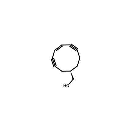 OC[C@H]1CC#C/C=C\C#CCC1